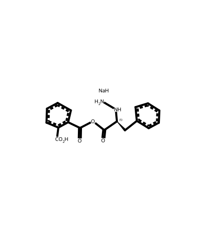 NN[C@@H](Cc1ccccc1)C(=O)OC(=O)c1ccccc1C(=O)O.[NaH]